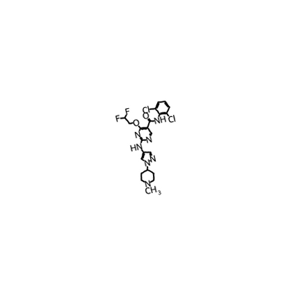 CN1CCC(n2cc(Nc3ncc(C(=O)Nc4c(Cl)cccc4Cl)c(OCC(F)F)n3)cn2)CC1